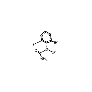 NC(=O)N(S)c1c(F)cccc1Br